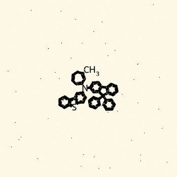 CC1=CC(N(c2ccc3c(c2)C(c2ccccc2)(c2ccccc2)c2ccccc2-3)c2ccc3sc4ccccc4c3c2)=CC=CC1